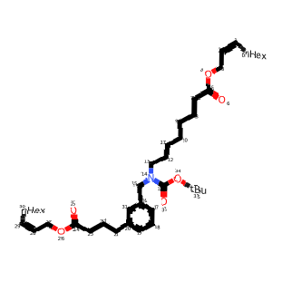 CCCCCC/C=C\COC(=O)CCCCCCCN(Cc1cccc(CCCC(=O)OC/C=C\CCCCCC)c1)C(=O)OC(C)(C)C